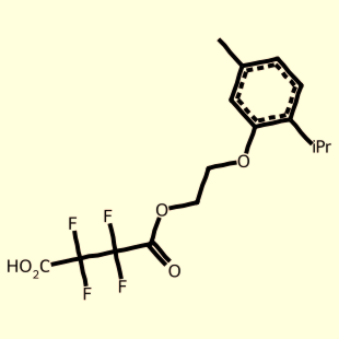 Cc1ccc(C(C)C)c(OCCOC(=O)C(F)(F)C(F)(F)C(=O)O)c1